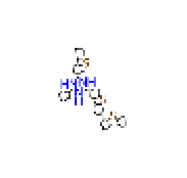 C1=Cc2sc3cc(C4NC(c5ccccc5)NC(c5ccc6sc7cc(-c8cccc9c8sc8ccccc89)ccc7c6c5)N4)ccc3c2CC1